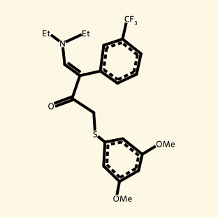 CCN(/C=C(/C(=O)CSc1cc(OC)cc(OC)c1)c1cccc(C(F)(F)F)c1)CC